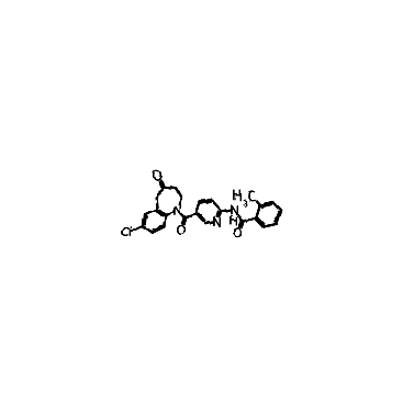 Cc1ccccc1C(=O)Nc1ccc(C(=O)N2CCC(=O)Cc3cc(Cl)ccc32)cn1